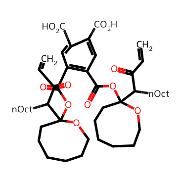 C=CC(=O)C(CCCCCCCC)C1(OC(=O)c2cc(C(=O)O)c(C(=O)O)cc2C(=O)OC2(C(CCCCCCCC)C(=O)C=C)CCCCCCO2)CCCCCCO1